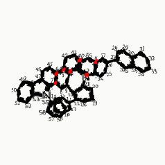 c1ccc(-c2ccccc2-c2c(-c3ccccc3)cccc2N(c2ccc(-c3ccc4ccccc4c3)cc2)c2cccc(-c3ccc4c5ccccc5n(-c5ccccc5)c4c3)c2)cc1